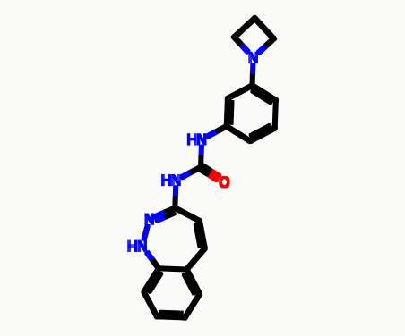 O=C(NC1=NNc2ccccc2C=C1)Nc1cccc(N2CCC2)c1